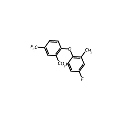 Cc1cc(F)ccc1Oc1ccc(C(F)(F)F)cc1C(=O)O